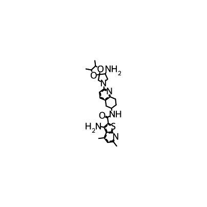 Cc1cc(C)c2c(N)c(C(=O)NC3CCc4nc(N5CC(N)C6(C5)OC(C)C(C)O6)ccc4C3)sc2n1